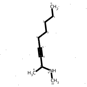 [CH2]CCCCC#CC(C)NC